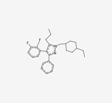 CCCc1c(-c2cccc(F)c2F)c(-c2ccccc2)nn1CC1CCC(CC)CC1